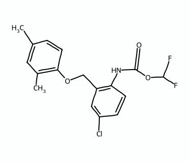 Cc1ccc(OCc2cc(Cl)ccc2NC(=O)OC(F)F)c(C)c1